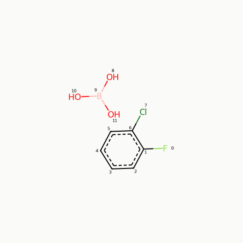 Fc1ccccc1Cl.OB(O)O